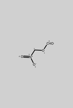 O=[C]OC[N+](=O)[O-]